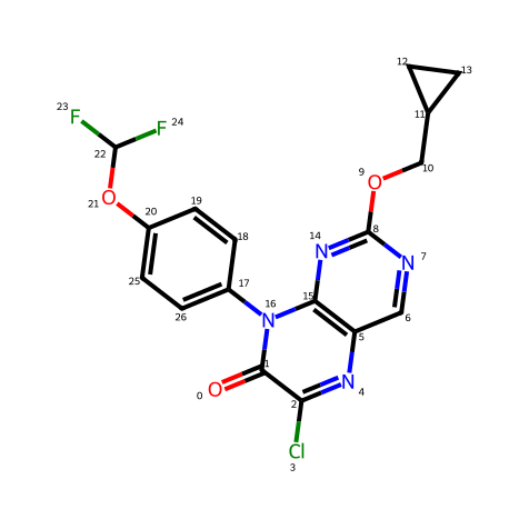 O=c1c(Cl)nc2cnc(OCC3CC3)nc2n1-c1ccc(OC(F)F)cc1